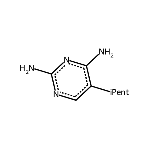 CCCC(C)c1cnc(N)nc1N